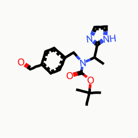 CC(c1ncc[nH]1)N(Cc1ccc(C=O)cc1)C(=O)OC(C)(C)C